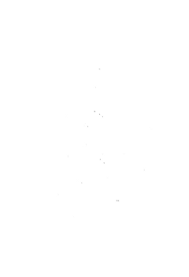 CC(C)(C)OC(=O)N1C(C(=O)NS(C)(=O)=O)CC2CCCCC21